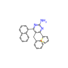 Nc1nc(-c2cccs2)c(Cc2ccccc2)c(-c2cccc3ccccc23)n1